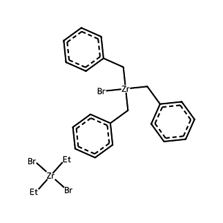 C[CH2][Zr]([Br])([Br])[CH2]C.[Br][Zr]([CH2]c1ccccc1)([CH2]c1ccccc1)[CH2]c1ccccc1